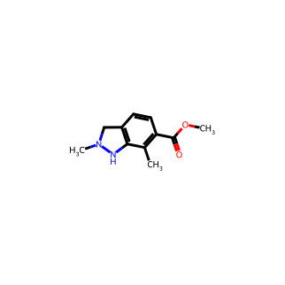 COC(=O)c1ccc2c(c1C)NN(C)C2